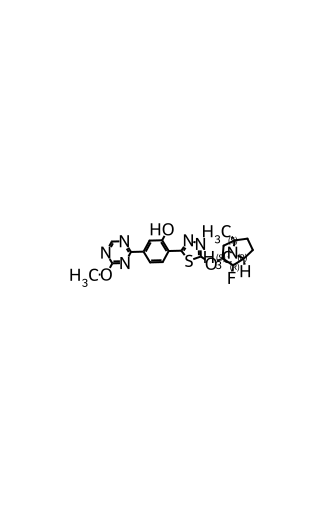 COc1ncnc(-c2ccc(-c3nnc(O[C@H]4C[C@]5(C)CC[C@H]([C@H]4F)N5C)s3)c(O)c2)n1